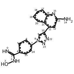 N=C(NO)c1ccc(-n2cc(-c3cc(N)nc4ccccc34)nn2)cc1